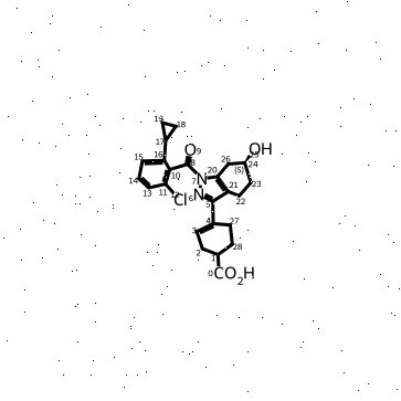 O=C(O)C1CC=C(c2nn(C(=O)c3c(Cl)cccc3C3CC3)c3c2CC[C@H](O)C3)CC1